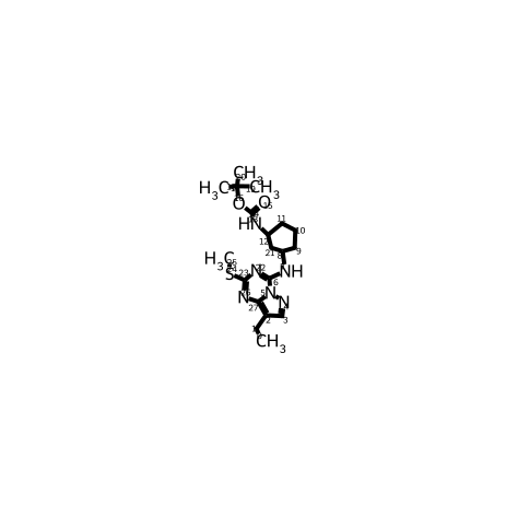 CCc1cnn2c(NC3CCCC(NC(=O)OC(C)(C)C)C3)nc(SC)nc12